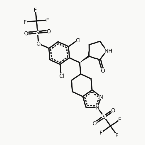 O=C1NCCC1[C@H](c1c(Cl)cc(OS(=O)(=O)C(F)(F)F)cc1Cl)C1CCc2cn(S(=O)(=O)C(F)(F)F)nc2C1